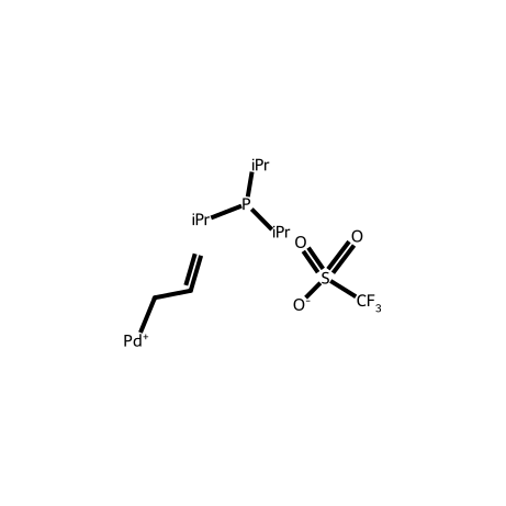 C=C[CH2][Pd+].CC(C)P(C(C)C)C(C)C.O=S(=O)([O-])C(F)(F)F